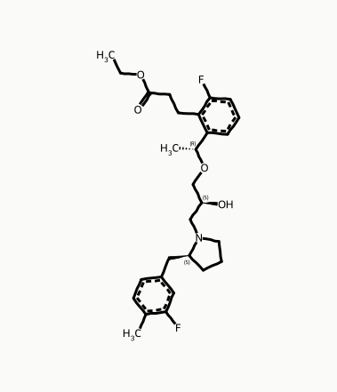 CCOC(=O)CCc1c(F)cccc1[C@@H](C)OC[C@@H](O)CN1CCC[C@H]1Cc1ccc(C)c(F)c1